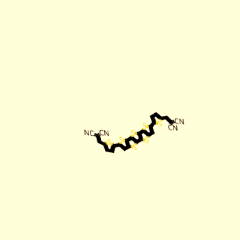 N#CC(C#N)=Cc1ccc(-c2cc3sc4c(sc5c6sc(-c7ccc(C=C(C#N)C#N)s7)cc6sc54)c3s2)s1